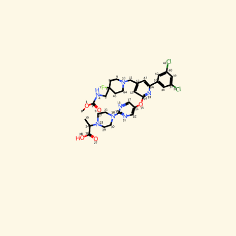 COC(=O)NCC1(F)CCN(Cc2cc(Oc3cnc(N4CCN(C(C)C(=O)O)CC4)nc3)nc(-c3cc(Cl)cc(Cl)c3)c2)CC1